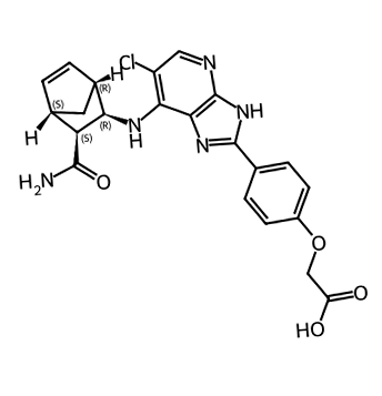 NC(=O)[C@@H]1[C@H](Nc2c(Cl)cnc3[nH]c(-c4ccc(OCC(=O)O)cc4)nc23)[C@H]2C=C[C@@H]1C2